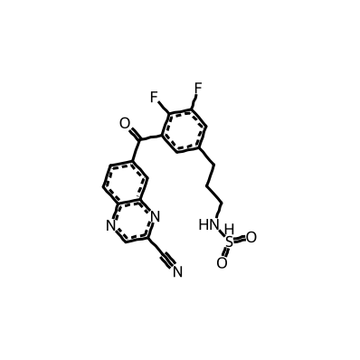 N#Cc1cnc2ccc(C(=O)c3cc(CCCN[SH](=O)=O)cc(F)c3F)cc2n1